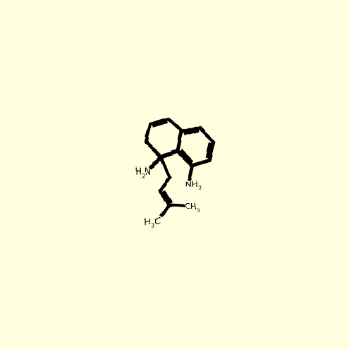 CC(C)=CCC1(N)CC=Cc2cccc(N)c21